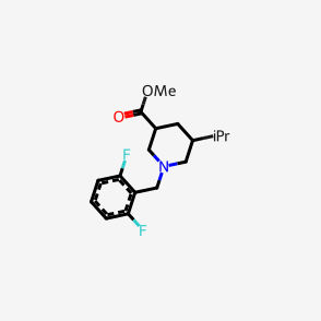 COC(=O)C1CC(C(C)C)CN(Cc2c(F)cccc2F)C1